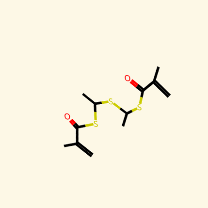 C=C(C)C(=O)SC(C)SC(C)SC(=O)C(=C)C